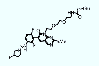 CSc1ncc2cc(-c3c(F)ccc(NSN4CC[C@@H](F)C4)c3F)c(=O)n(CCOCCOCCNC(=O)OC(C)(C)C)c2n1